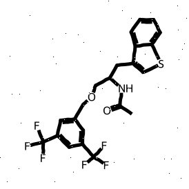 CC(=O)NC(COCc1cc(C(F)(F)F)cc(C(F)(F)F)c1)Cc1csc2ccccc12